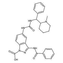 CN1CCCCC1C(NC(=O)Nc1ccc2c(c1)c(NC(=O)c1ccccc1)nn2C(=O)O)c1ccccc1